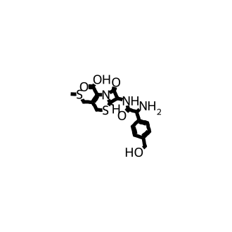 CSCC1=C(C(=O)O)N2C(=O)C(NC(=O)C(N)c3ccc(CO)cc3)[C@H]2SC1